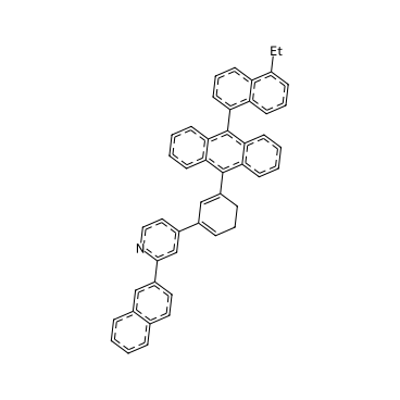 CCc1cccc2c(-c3c4ccccc4c(C4=CC(c5ccnc(-c6ccc7ccccc7c6)c5)=CCC4)c4ccccc34)cccc12